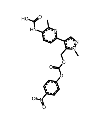 Cc1nc(-c2cnn(C)c2COC(=O)Oc2ccc([N+](=O)[O-])cc2)ccc1NC(=O)O